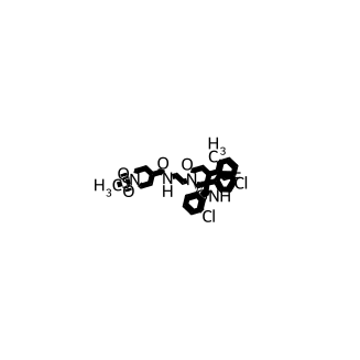 Cc1ccc(F)cc1C1CC(=O)N(CCNC(=O)C2CCN(S(C)(=O)=O)CC2)[C@@H](c2cccc(Cl)c2)C12C(=O)Nc1cc(Cl)ccc12